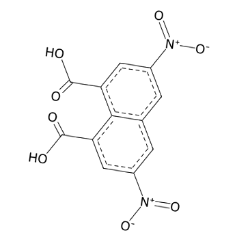 O=C(O)c1cc([N+](=O)[O-])cc2cc([N+](=O)[O-])cc(C(=O)O)c12